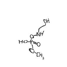 COP(=O)(O)ONCCO